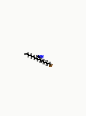 CCCCCCCCCCCCCCCCBr.CNC